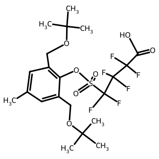 Cc1cc(COC(C)(C)C)c(OS(=O)(=O)C(F)(F)C(F)(F)C(F)(F)C(=O)O)c(COC(C)(C)C)c1